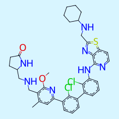 COc1nc(-c2cccc(-c3cccc(Nc4nccc5sc(CNC6CCCCC6)nc45)c3Cl)c2Cl)cc(C)c1CNCC1CCC(=O)N1